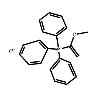 C=C(OC)[P+](c1ccccc1)(c1ccccc1)c1ccccc1.[Cl-]